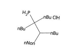 CCCCCCCCCC(CCCC)C(P)(CCCC)CCCC.Cl